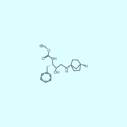 CC(C)(C)OC(=O)N[C@@H](Cc1ccccc1)[C@H](O)CN[C@]12CC[C@H](CC1)C2